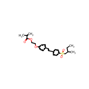 C=C(C)C(=O)OCCOc1ccc(/C=C/c2ccc(S(=O)(=O)CC(C)CC)cc2)cc1